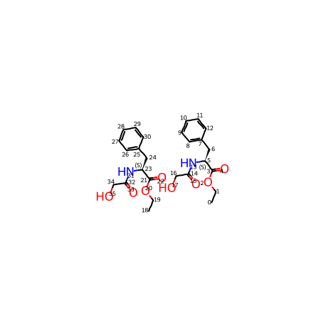 CCOC(=O)[C@H](Cc1ccccc1)NC(=O)CO.CCOC(=O)[C@H](Cc1ccccc1)NC(=O)CO